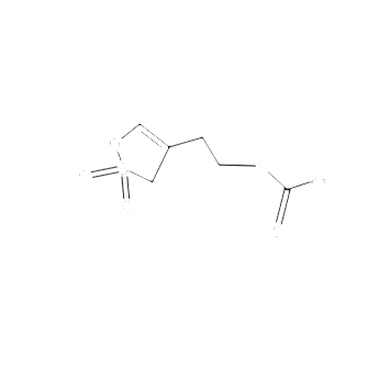 CC(C)C(=S)SCCC1=COS(=O)(=O)C1